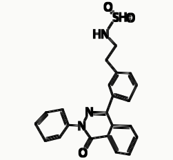 O=c1c2ccccc2c(-c2cccc(CCN[SH](=O)=O)c2)nn1-c1ccccc1